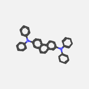 C1=CCCC(N(C2=CCCC=C2)c2ccc3c(ccc4cc(N(c5ccccc5)c5ccccc5)ccc43)c2)=C1